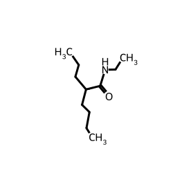 CCCC[C](CCC)C(=O)NCC